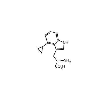 N[C@@H](Cc1c[nH]c2cccc(C3CC3)c12)C(=O)O